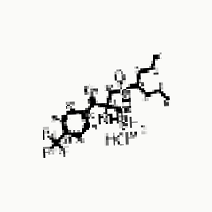 CCCC(CCC)S(=O)(=O)C[C@](N)(C(N)=O)C(=O)c1ccc(C(F)(F)F)cc1.Cl